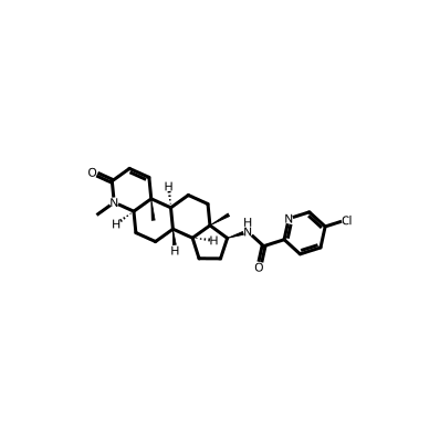 CN1C(=O)C=C[C@]2(C)[C@H]3CC[C@]4(C)[C@@H](NC(=O)c5ccc(Cl)cn5)CC[C@H]4[C@@H]3CC[C@@H]12